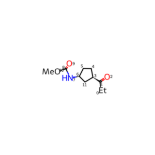 CCC(=O)[C@@H]1CC[C@H](NC(=O)OC)C1